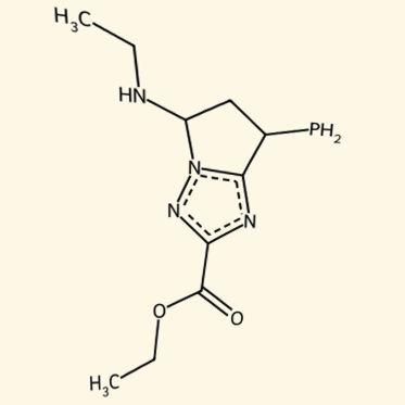 CCNC1CC(P)c2nc(C(=O)OCC)nn21